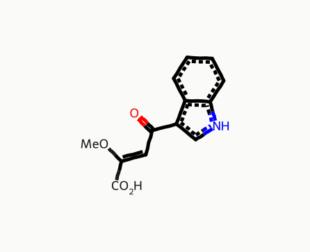 CO/C(=C\C(=O)c1c[nH]c2ccccc12)C(=O)O